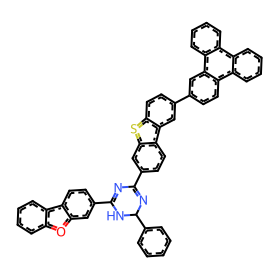 c1ccc(C2N=C(c3ccc4c(c3)sc3ccc(-c5ccc6c7ccccc7c7ccccc7c6c5)cc34)N=C(c3ccc4c(c3)oc3ccccc34)N2)cc1